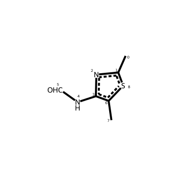 Cc1nc(NC=O)c(C)s1